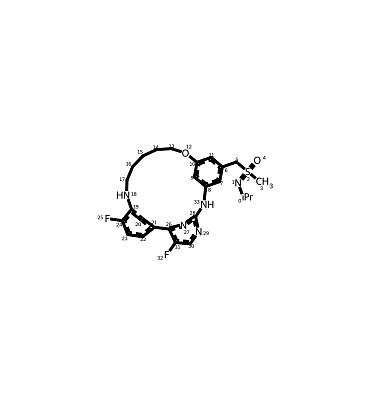 CC(C)N=S(C)(=O)Cc1cc2cc(c1)OCCCCCNc1cc(ccc1F)-c1nc(ncc1F)N2